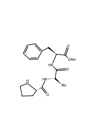 CC[C@H](C)[C@H](NC(=O)[C@@H]1CCCN1)C(=O)N[C@@H](Cc1ccccc1)C(=O)OC